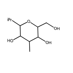 CC(C)C1OC(CO)C(O)C(C)C1O